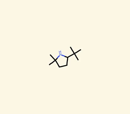 CC1(C)CCC(C(C)(C)C)N1